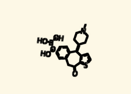 CN1CCC(=C2c3ccccc3CC(=O)c3sccc32)CC1.OOB(O)O